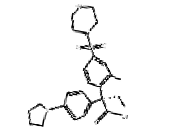 CC[C@](C(=O)O)(c1ccc(N2CCCC2)cc1)c1ccc(S(=O)(=O)N2CCNCC2)cc1C